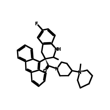 CC1Nc2ccc(F)cc2C[C@]1(C(=O)N1CCC([N+]2(C)CCCCC2)CC1)c1c2ccccc2cc2ccccc12